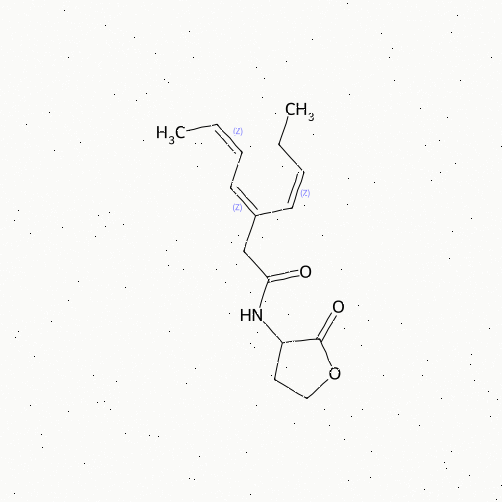 C\C=C/C=C(\C=C/CC)CC(=O)NC1CCOC1=O